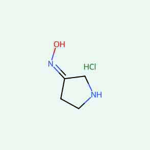 Cl.ON=C1CCNC1